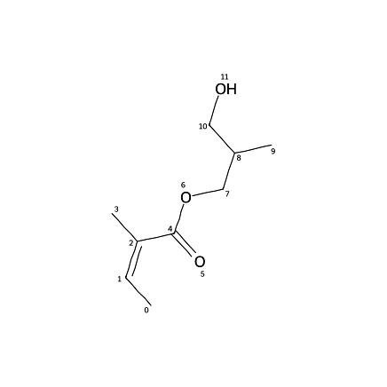 CC=C(C)C(=O)OCC(C)CO